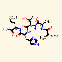 CN[C@H](C)C(=O)N[C@H](C)C(=O)N[C@@H](C(=O)N[C@H](Cc1c[nH]cn1)C(=O)N[C@H](CCC(=O)O)C(N)=O)[C@H](C)O